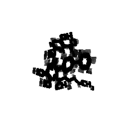 CCCCCC(C)N1C(O)=C(O)C=NC1c1ccc(-c2ccccc2)cc1.NC(=O)c1nc(O)ncc1O